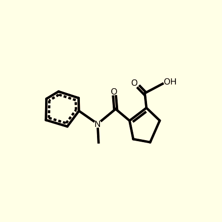 CN(C(=O)C1=C(C(=O)O)CCC1)c1ccccc1